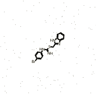 N=C(Nc1ccc(Br)cc1)SCc1nc2ccccc2[nH]1